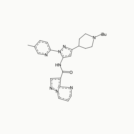 CCC(C)N1CCC(c2cc(NC(=O)c3cnn4cccnc34)n(-c3ccc(C)cn3)n2)CC1